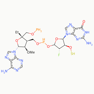 CC[C@]1(COP)O[C@@H](n2cnc3c(N)ncnc32)[C@H](OC)[C@@H]1COPOC1O[C@@H](n2cnc3c(=O)[nH]c(N)nc32)[C@@H](OS)[C@@H]1F